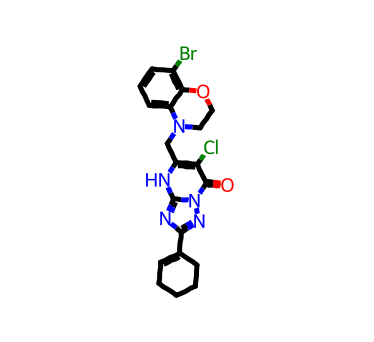 O=c1c(Cl)c(CN2CCOc3c(Br)cccc32)[nH]c2nc(C3=CCCCC3)nn12